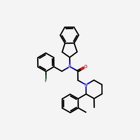 Cc1ccccc1C1C(C)CCCN1CC(=O)N(Cc1ccccc1F)C1Cc2ccccc2C1